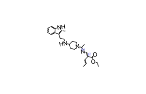 CC=C/C(=C\N=C(/C)N1CCC(NCCc2c(C)[nH]c3ccccc23)CC1)C(=O)OCC